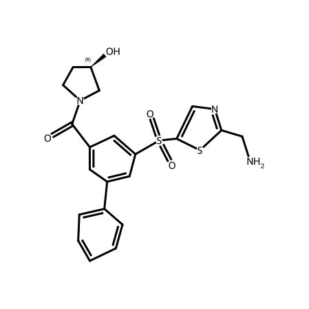 NCc1ncc(S(=O)(=O)c2cc(C(=O)N3CC[C@@H](O)C3)cc(-c3ccccc3)c2)s1